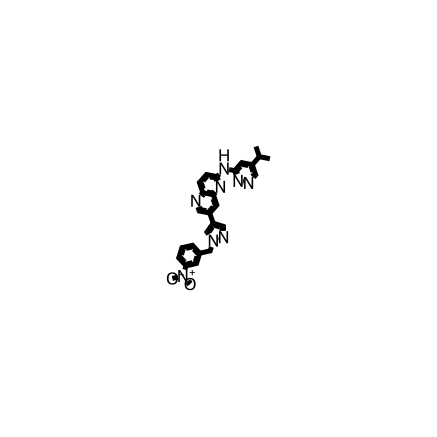 CC(C)c1cnnc(Nc2ccc3ncc(-c4cnn(Cc5cccc([N+](=O)[O-])c5)c4)cc3n2)c1